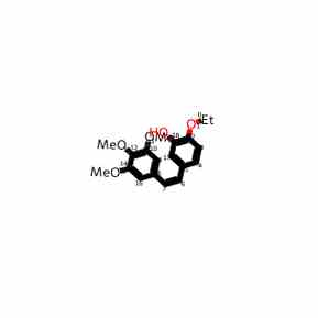 CCOc1ccc(/C=C\c2cc(OC)c(OC)c(OC)c2)cc1O